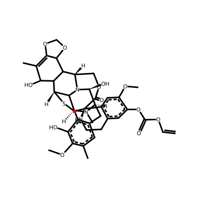 C=COC(=O)Oc1cc2c(cc1OC)[C@@]1(CS[C@@H]3C4C(O)C(C)=C5OCOC5C4[C@H](COC1=O)N1C3[C@@H]3c4c(cc(C)c(OC)c4O)C[C@H]([C@@H]1O)N3C)NCC2